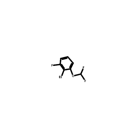 [CH2]Cc1c(F)cccc1OC(F)F